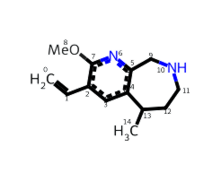 C=Cc1cc2c(nc1OC)CNCCC2C